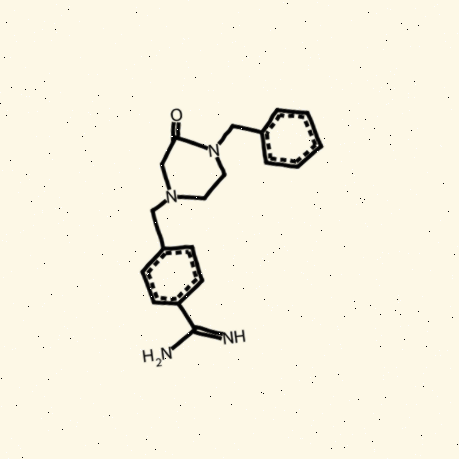 N=C(N)c1ccc(CN2CCN(Cc3ccccc3)C(=O)C2)cc1